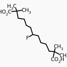 CC(C)(CCCCC(F)CCCCC(C)(C)C(=O)O)C(=O)O